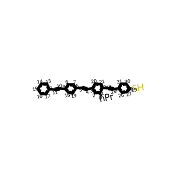 CCCc1cc(C#Cc2ccc(C#Cc3ccccc3)cc2)ccc1C#Cc1ccc(S)cc1